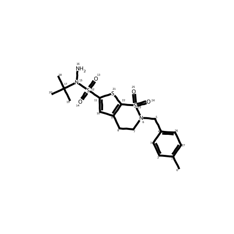 Cc1ccc(CN2CCc3cc(S(=O)(=O)N(N)C(C)(C)C)sc3S2(=O)=O)cc1